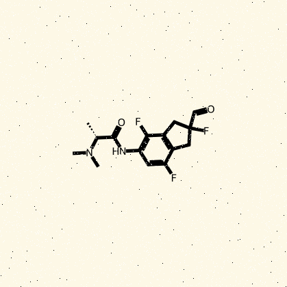 C[C@H](C(=O)Nc1cc(F)c2c(c1F)CC(F)(C=O)C2)N(C)C